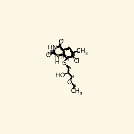 CCOC[C@@H](O)CSc1c(Cl)c(C)cc2c(=O)[nH]c(=O)[nH]c12